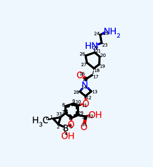 C[C@@H]1C2B(O)Oc3c(ccc(OC4CN(C(=O)C[C@H]5CC[C@@H](NCCN)CC5)C4)c3C(=O)O)C21